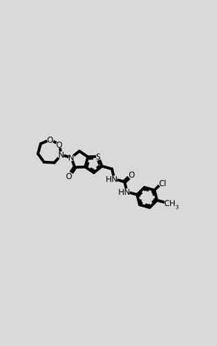 Cc1ccc(NC(=O)NCc2cc3c(s2)CN(N2CCCCOO2)C3=O)cc1Cl